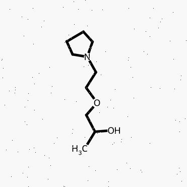 CC(O)COCCN1CCCC1